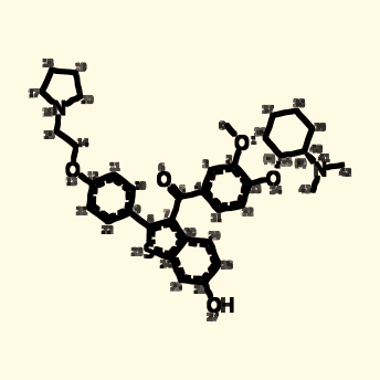 COc1cc(C(=O)c2c(-c3ccc(OCCN4CCCC4)cc3)sc3cc(O)ccc23)ccc1O[C@@H]1CCCC[C@H]1N(C)C